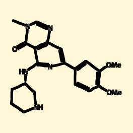 COc1ccc(-c2cc3ncn(C)c(=O)c3c(N[C@@H]3CCCNC3)n2)cc1OC